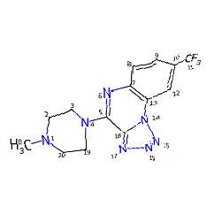 CN1CCN(c2nc3ccc(C(F)(F)F)cc3n3nnnc23)CC1